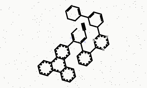 C#C/C=C(\C(=C/C)c1ccc2c3ccccc3c3ccccc3c2c1)c1ccccc1-c1ncnc(C2C=CC=C(C3=CC=CCC3)C2)n1